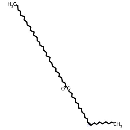 CCCCCCCC/C=C\CCCCCCCCCCCCOC(=O)CCCCCCCCCCCCCCCCCCCCCCCCCCCCCCCC